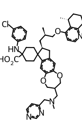 C[C@@H](COc1ccnc2c1[C@H](C)CCC2)C[C@H]1Cc2cc3c(cc2C12CCC(Nc1cccc(Cl)c1)(C(=O)O)CC2)OCC(CN(C)Cc1ccncn1)CO3